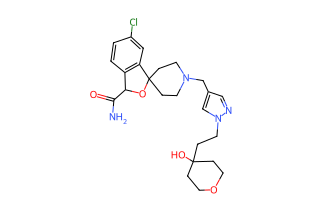 NC(=O)C1OC2(CCN(Cc3cnn(CCC4(O)CCOCC4)c3)CC2)c2cc(Cl)ccc21